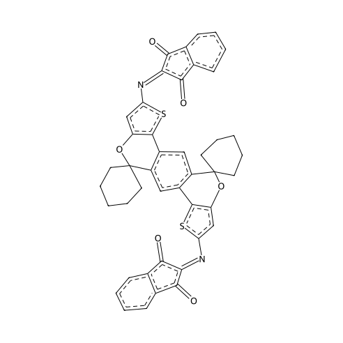 O=c1c(=Nc2cc3c(s2)-c2cc4c(cc2C2(CCCCC2)O3)-c2sc(N=c3c(=O)c5ccccc5c3=O)cc2OC42CCCCC2)c(=O)c2ccccc12